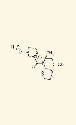 COc1cccc(C(=O)N2c3ccccc3C(O)CC2(C)C)c1